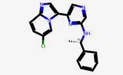 C[C@H](Nc1cncc(-c2cnc3ccc(Cl)cn23)n1)c1ccccc1